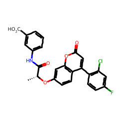 C[C@@H](Oc1ccc2c(-c3ccc(F)cc3Cl)cc(=O)oc2c1)C(=O)Nc1cccc(C(=O)O)c1